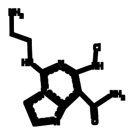 NCCNc1nc(NCl)c(C(N)=O)c2nccn12